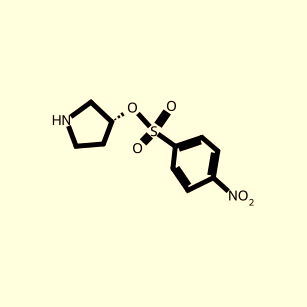 O=[N+]([O-])c1ccc(S(=O)(=O)O[C@@H]2CCNC2)cc1